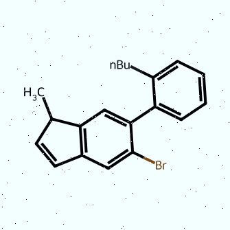 CCCCc1ccccc1-c1cc2c(cc1Br)C=CC2C